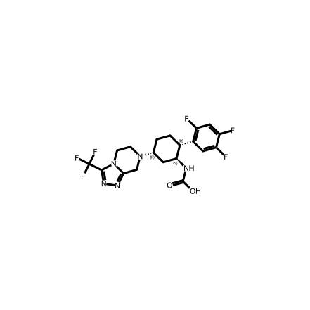 O=C(O)N[C@H]1C[C@H](N2CCn3c(nnc3C(F)(F)F)C2)CC[C@@H]1c1cc(F)c(F)cc1F